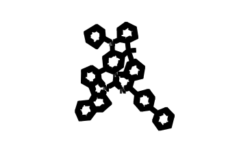 CC1(C)c2ccccc2N(c2ccccc2)c2cc(-c3cccc4c5c6ccccc6ccc5n(-c5nc(-c6ccc(-c7ccccc7)cc6)c6ccccc6n5)c34)ccc21